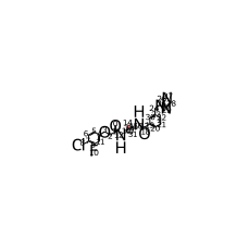 O=C(COc1ccc(Cl)c(F)c1)NC12CC(NC(=O)c3cccc(Cn4cncn4)c3)(C1)C2